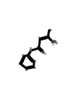 CC(N)=CC(=S)Oc1ccccc1